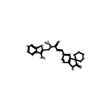 Cc1c(CN(C)C(=O)/C=C/c2cnc3c(c2)C2(CCCCC2)C(=O)N3)sc2ccccc12